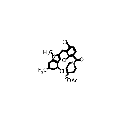 CC(=O)OOC1CCN(C(=O)c2ccc(Cl)c(Cc3cc4c(n3C)C=C(C(F)(F)F)CC4C)c2Cl)CC1